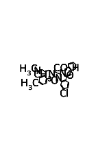 Cc1ccc(C(=O)N(CCCN(C)C)C(C(=O)O)c2nc3cc(Cl)ccc3c(=O)n2Cc2ccccc2)cc1